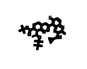 CCC(CC(=O)c1c(F)ccc2nc(C)c(NC3CC3)nc12)C(=O)[C@H](NC(=O)OC(C)(C)C)[C@H](C)O[Si](C)(C)C(C)(C)C